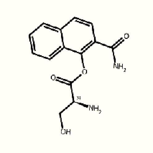 NC(=O)c1ccc2ccccc2c1OC(=O)[C@@H](N)CO